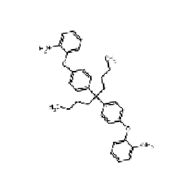 CCCCC(CCCC)(c1ccc(Oc2ccccc2N)cc1)c1ccc(Oc2ccccc2N)cc1